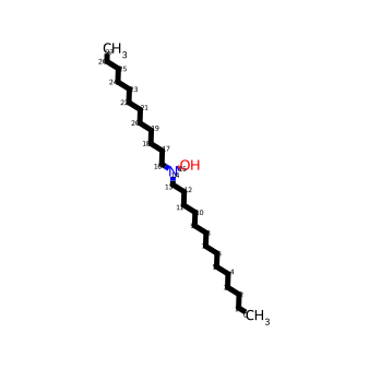 CCCCCCCCCCCCCCN(O)CCCCCCCCCCCC